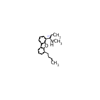 C=CCCc1cccc2c1oc1c(/C(=C/C)NC)cccc12